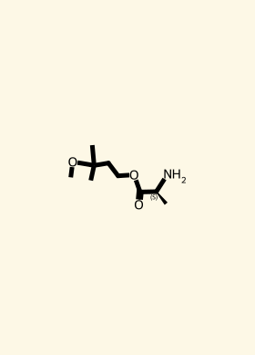 COC(C)(C)CCOC(=O)[C@H](C)N